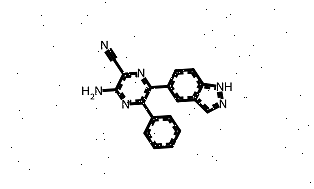 N#Cc1nc(-c2ccc3[nH]ncc3c2)c(-c2ccccc2)nc1N